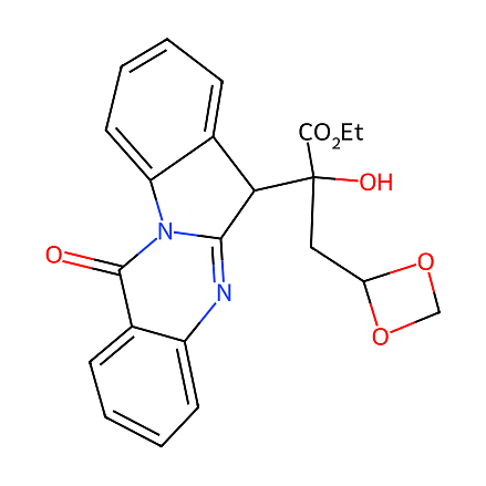 CCOC(=O)C(O)(CC1OCO1)C1c2ccccc2-n2c1nc1ccccc1c2=O